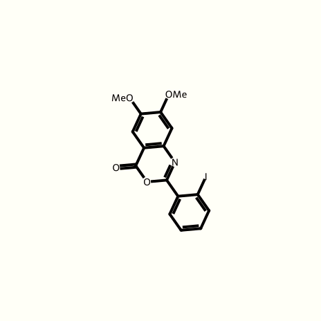 COc1cc2nc(-c3ccccc3I)oc(=O)c2cc1OC